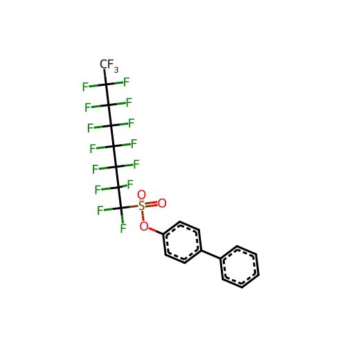 O=S(=O)(Oc1ccc(-c2ccccc2)cc1)C(F)(F)C(F)(F)C(F)(F)C(F)(F)C(F)(F)C(F)(F)C(F)(F)C(F)(F)F